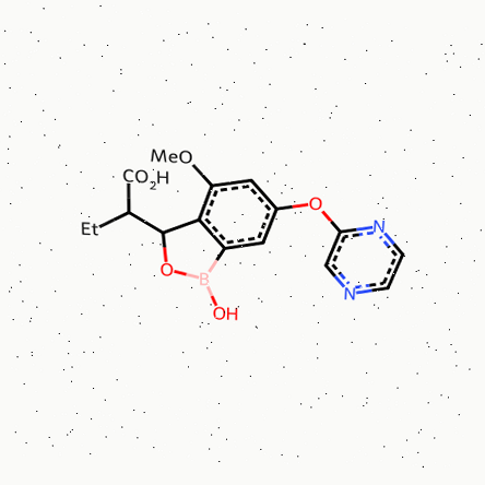 CCC(C(=O)O)C1OB(O)c2cc(Oc3cnccn3)cc(OC)c21